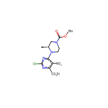 CCOC(=O)c1nc(Cl)nc(N2CCN(C(=O)OC(C)(C)C)C[C@@H]2C)c1[N+](=O)[O-]